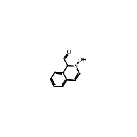 O=CC1c2ccccc2C=CN1O